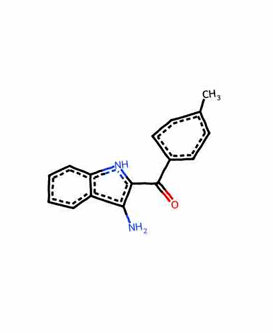 Cc1ccc(C(=O)c2[nH]c3ccccc3c2N)cc1